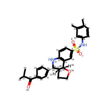 Cc1ccc(NS(=O)(=O)c2ccc3c(c2)[C@@H]2OCC[C@@H]2[C@H](c2ccc(C(=O)C(C)C)cc2)N3)cc1C